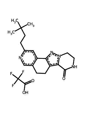 CC(C)(C)CCc1cc2c(cn1)CCc1c-2nn2c1C(=O)NCC2.O=C(O)C(F)(F)F